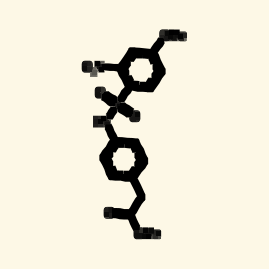 COC(=O)Cc1ccc(NS(=O)(=O)c2ccc(OC)cc2[N+](=O)[O-])cc1